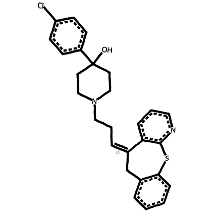 OC1(c2ccc(Cl)cc2)CCN(CC/C=C2/Cc3ccccc3Sc3ncccc32)CC1